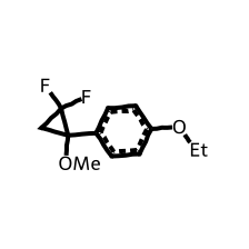 CCOc1ccc(C2(OC)CC2(F)F)cc1